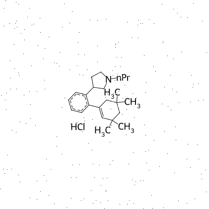 CCCN1CCC(c2ccccc2C2=CC(C)(C)CC(C)(C)C2)C1.Cl